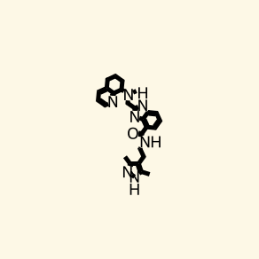 Cc1n[nH]c(C)c1CCNC(=O)c1cccc2[nH]c(CN(C)C3CCCc4cccnc43)nc12